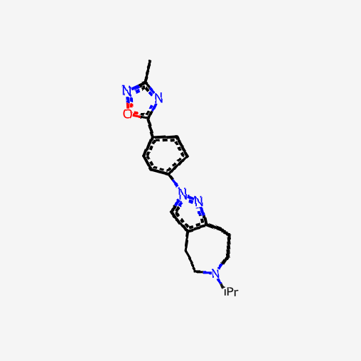 Cc1noc(-c2ccc(-n3cc4c(n3)CCN(C(C)C)CC4)cc2)n1